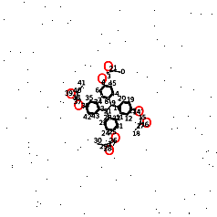 CC1OC1Oc1ccc(C(c2ccc(OC3OC3C)cc2)C(c2ccc(OC3OC3C)cc2)c2ccc(OC3OC3C)cc2)cc1